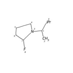 CC(C)C(C)N1CCCC1F